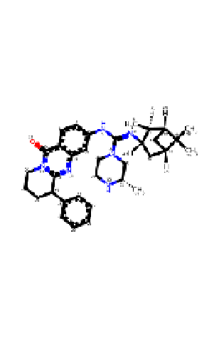 C[C@@H]1[C@@H](/N=C(/Nc2ccc3c(=O)n4c(nc3c2)C(c2ccccc2)CCC4)N2CCN[C@@H](C)C2)C[C@@H]2C[C@H]1C2(C)C